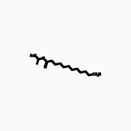 CC(=O)OC(C)OC(=O)CCCCCCCCCCC(=O)O